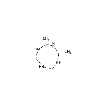 C.C.C1NCNCNCN1